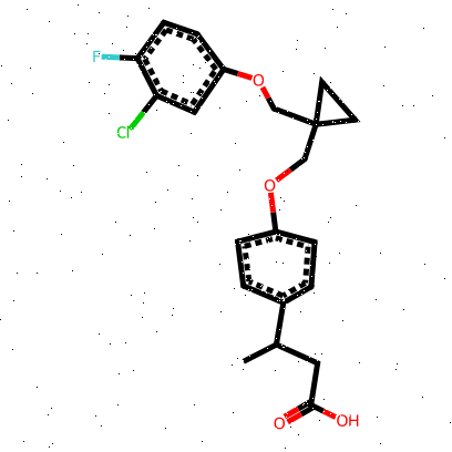 CC(CC(=O)O)c1ccc(OCC2(COc3ccc(F)c(Cl)c3)CC2)cc1